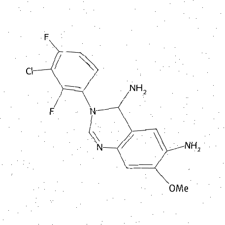 COc1cc2c(cc1N)C(N)N(c1ccc(F)c(Cl)c1F)C=N2